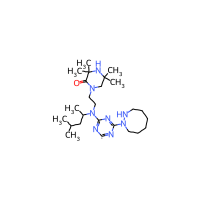 CC(C)CC(C)N(CCN1CC(C)(C)NC(C)(C)C1=O)c1n[c]nc(N2CCCCCCN2)n1